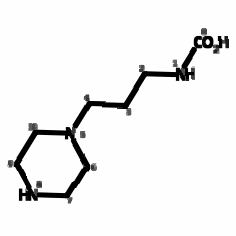 O=C(O)NCCCN1CCNCC1